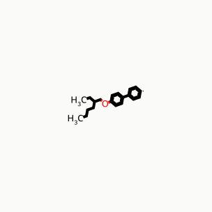 CCCCC(CC)COc1ccc(-c2cc[c]cc2)cc1